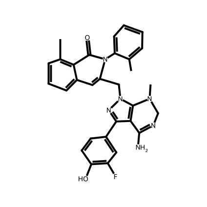 Cc1ccccc1-n1c(Cn2nc(-c3ccc(O)c(F)c3)c3c2N(C)CN=C3N)cc2cccc(C)c2c1=O